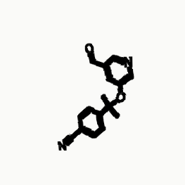 CC(C)(Oc1cncc(C=O)c1)c1ccc(C#N)cc1